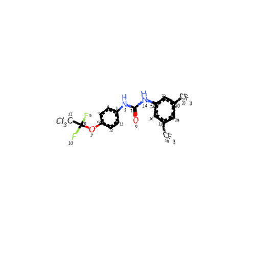 O=C(Nc1ccc(OC(F)(F)C(Cl)(Cl)Cl)cc1)Nc1cc(C(F)(F)F)cc(C(F)(F)F)c1